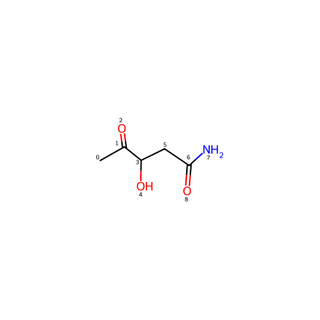 CC(=O)C(O)CC(N)=O